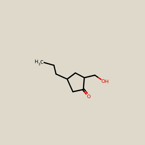 CCCC1CC(=O)C(CO)C1